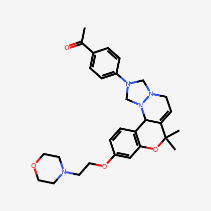 CC(=O)c1ccc(N2CN3CC=C4C(c5ccc(OCCN6CCOCC6)cc5OC4(C)C)N3C2)cc1